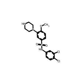 COc1ccc(S(=O)(=O)Nc2ccc(Cl)c(Cl)c2)cc1N1CCNCC1